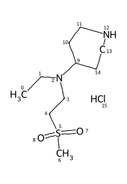 CCN(CCS(C)(=O)=O)C1CCNCC1.Cl